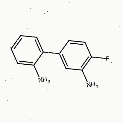 Nc1cc(-c2ccccc2N)ccc1F